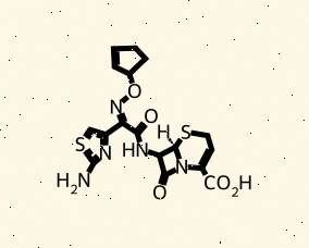 Nc1nc(/C(=N/OC2C=CCC2)C(=O)NC2C(=O)N3C(C(=O)O)=CCS[C@H]23)cs1